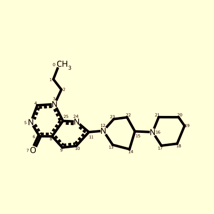 CCCn1cnc(=O)c2ccc(N3CCC(N4CCCCC4)CC3)nc21